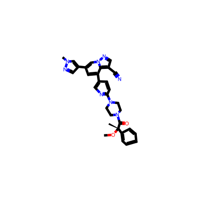 CO[C@](C)(C(=O)N1CCN(c2ccc(-c3cc(-c4cnn(C)c4)cn4ncc(C#N)c34)cn2)CC1)c1ccccc1